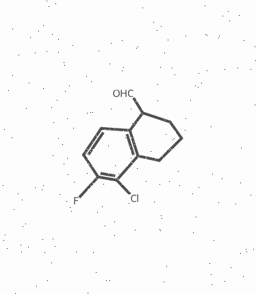 O=CC1CCCc2c1ccc(F)c2Cl